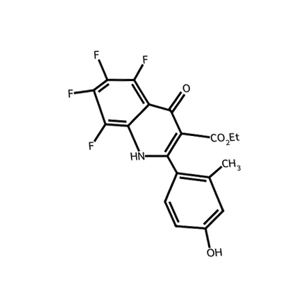 CCOC(=O)c1c(-c2ccc(O)cc2C)[nH]c2c(F)c(F)c(F)c(F)c2c1=O